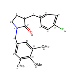 COc1cc(CN2CCC(Cc3ccc(F)cc3)C2=O)cc(OC)c1OC